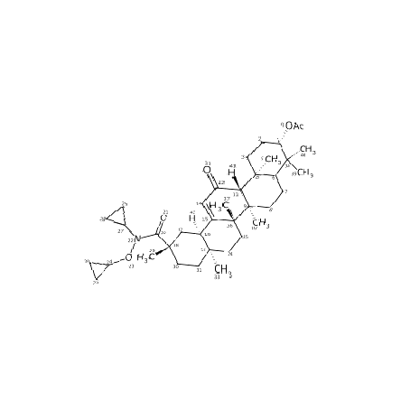 CC(=O)O[C@H]1CC[C@@]2(C)C(CC[C@]3(C)[C@@H]2C(=O)C=C2[C@@H]4C[C@@](C)(C(=O)N(OC5CC5)C5CC5)CC[C@]4(C)CC[C@]23C)C1(C)C